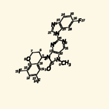 Cn1c(=O)n([C@@H]2CCOc3c(F)cc(F)cc32)c2nc(-n3cnc4ccc(F)cc43)ncc21